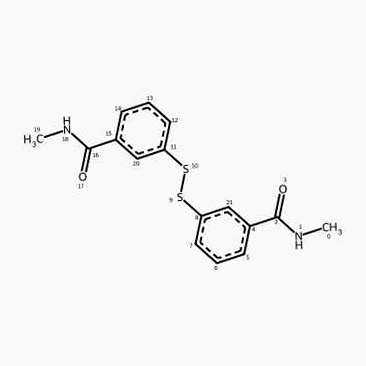 CNC(=O)c1cccc(SSc2cccc(C(=O)NC)c2)c1